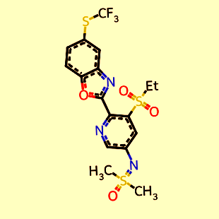 CCS(=O)(=O)c1cc(N=S(C)(C)=O)cnc1-c1nc2cc(SC(F)(F)F)ccc2o1